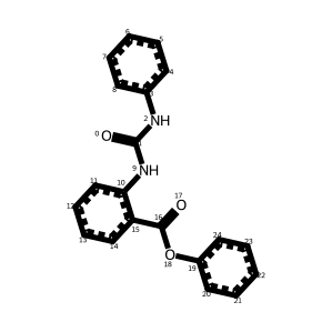 O=C(Nc1ccccc1)Nc1ccccc1C(=O)Oc1ccccc1